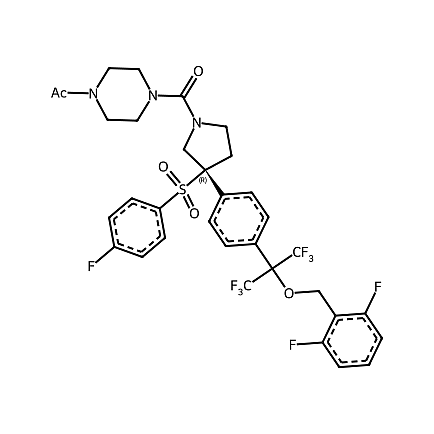 CC(=O)N1CCN(C(=O)N2CC[C@](c3ccc(C(OCc4c(F)cccc4F)(C(F)(F)F)C(F)(F)F)cc3)(S(=O)(=O)c3ccc(F)cc3)C2)CC1